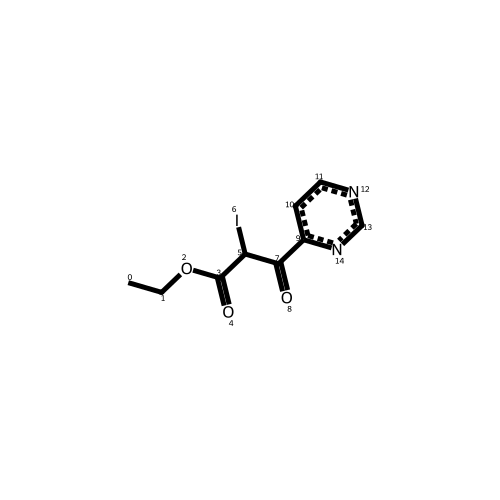 CCOC(=O)C(I)C(=O)c1ccncn1